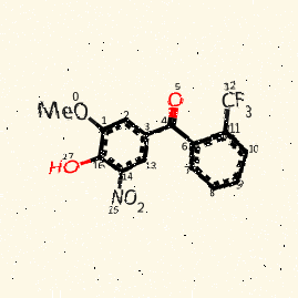 COc1cc(C(=O)c2ccccc2C(F)(F)F)cc([N+](=O)[O-])c1O